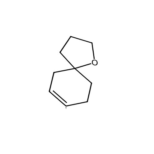 [C]1=CCC2(CC1)CCCO2